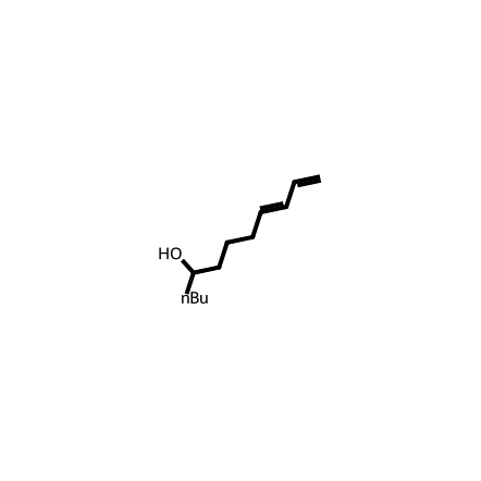 C=C/C=C/CCCC(O)CCCC